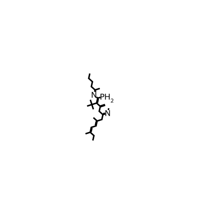 C=C(C/C(C/C(C)=C/C=C(/C)CC)=N\C)/C(=C(P)/N=C(\C)CCCC)C(C)(C)C